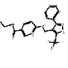 CCNC(=O)c1ccc(OCc2c(-c3ccccc3)noc2C(F)(F)F)nc1